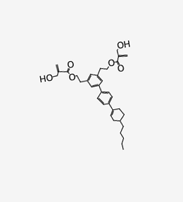 C=C(CO)C(=O)OCCc1cc(CCOC(=O)C(=C)CO)cc(-c2ccc(C3=CCC(CCCCC)CC3)cc2)c1